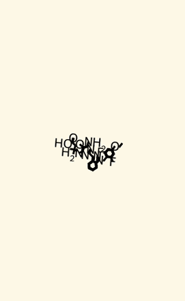 CCOc1cc(F)c(Cn2nc(-c3nc(N)c(OC(C(=O)O)C(C)(C)C)c(N)n3)c3ccccc32)c(F)c1